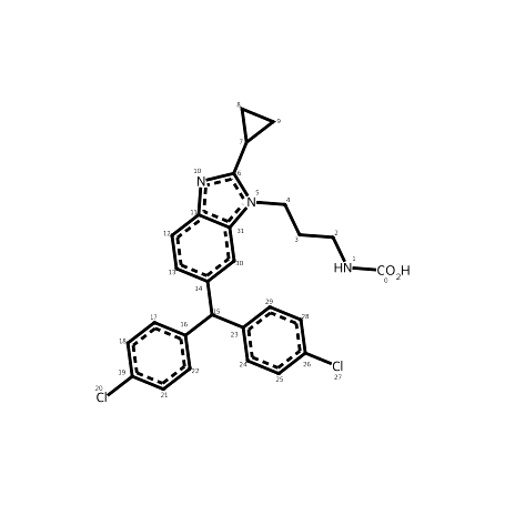 O=C(O)NCCCn1c(C2CC2)nc2ccc(C(c3ccc(Cl)cc3)c3ccc(Cl)cc3)cc21